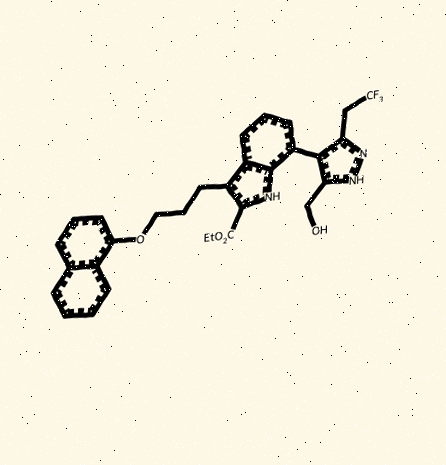 CCOC(=O)c1[nH]c2c(-c3c(CC(F)(F)F)n[nH]c3CO)cccc2c1CCCOc1cccc2ccccc12